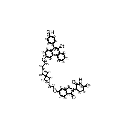 CCC(=C(c1ccc(O)cc1)c1ccc(OCCN2CC3(C2)CN(CCOc2ccc4c(c2)CN(C2CCC(=O)NC2=O)C4=O)C3)cc1)c1ccccc1